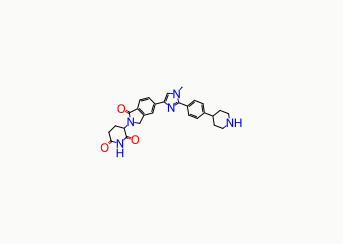 Cn1cc(-c2ccc3c(c2)CN(C2CCC(=O)NC2=O)C3=O)nc1-c1ccc(C2CCNCC2)cc1